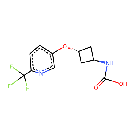 O=C(O)N[C@H]1C[C@H](Oc2ccc(C(F)(F)F)nc2)C1